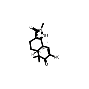 [C-]#[N+]C1=C[C@]2(C)c3[nH]n(C)c(=O)c3CC[C@H]2C(C)(C)C1=O